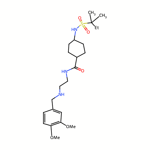 CCC(C)(C)S(=O)(=O)NC1CCC(C(=O)NCCNCc2ccc(OC)c(OC)c2)CC1